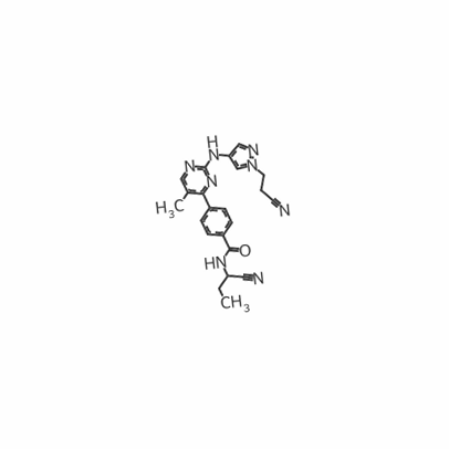 CCC(C#N)NC(=O)c1ccc(-c2nc(Nc3cnn(CCC#N)c3)ncc2C)cc1